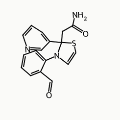 NC(=O)CC1(c2cccnc2)SC=CN1c1ccccc1C=O